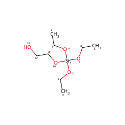 CCO[Si](OCC)(OCC)OCCO